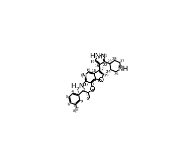 CC(Cc1cccc(F)c1)Oc1c(N)ncc2c(-c3c[nH]nc3C3CCNCC3)coc12